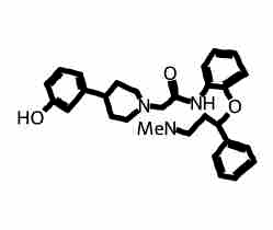 CNCCC(Oc1ccccc1NC(=O)CN1CCC(c2cccc(O)c2)CC1)c1ccccc1